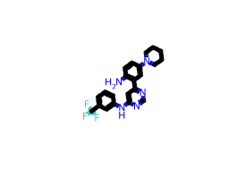 Nc1ccc(N2CCCCC2)cc1-c1cc(Nc2cccc(C(F)(F)F)c2)ncn1